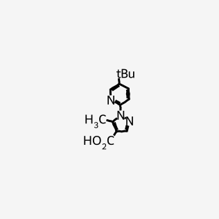 Cc1c(C(=O)O)cnn1-c1ccc(C(C)(C)C)cn1